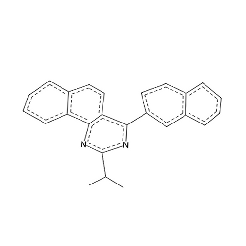 CC(C)c1nc(-c2ccc3ccccc3c2)c2ccc3ccccc3c2n1